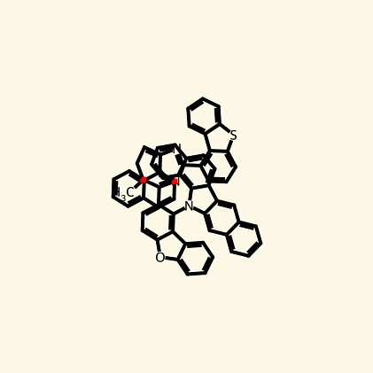 CC1C/C=C(c2cccc3ccccc23)/N=C(c2cccc3sc4ccccc4c23)\N=C/1c1ccc2oc3ccccc3c2c1-n1c2cc3ccccc3cc2c2ccc3ccccc3c21